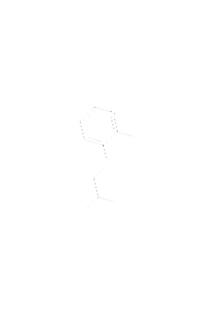 CC(O)COc1cccnc1Cl